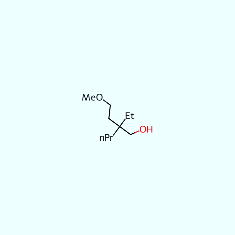 CCCC(CC)(CO)CCOC